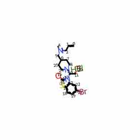 C=CCN(C)CC1CCN(C(C=O)n2c(=O)sc3ccc(Br)cc32)CC1.Cl